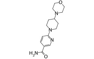 NC(=O)c1ccc(N2CCC(N3CCOCC3)CC2)nc1